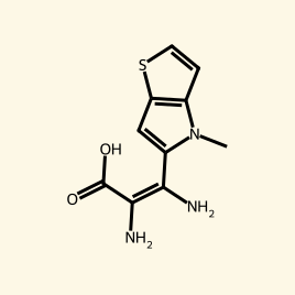 Cn1c(/C(N)=C(/N)C(=O)O)cc2sccc21